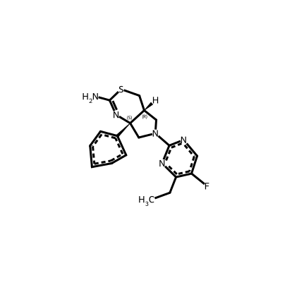 CCc1nc(N2C[C@H]3CSC(N)=N[C@@]3(c3ccccc3)C2)ncc1F